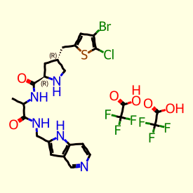 CC(NC(=O)[C@H]1C[C@H](Cc2cc(Br)c(Cl)s2)CN1)C(=O)NCc1cc2cnccc2[nH]1.O=C(O)C(F)(F)F.O=C(O)C(F)(F)F